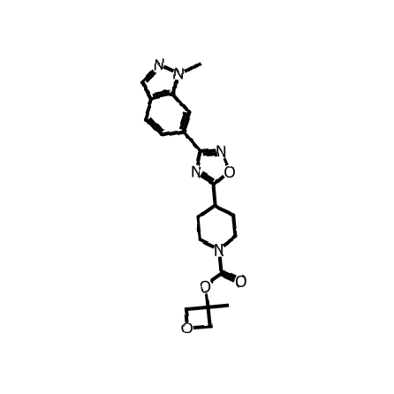 Cn1ncc2ccc(-c3noc(C4CCN(C(=O)OC5(C)COC5)CC4)n3)cc21